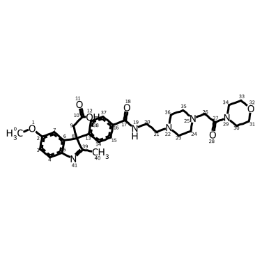 COc1ccc2c(c1)C(CC(=O)O)(c1ccc(C(=O)NCCN3CCN(CC(=O)N4CCOCC4)CC3)cc1)C(C)=N2